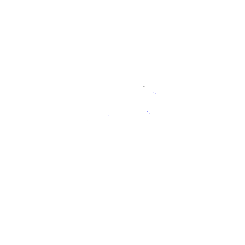 O=c1[nH]cnc2cc(N3CCNC(c4ccccc4)C3)ccc12